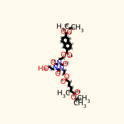 C/C(=C\C=C\C(=O)OCCn1c(=O)n(CCO)c(=O)n(CCOC(=O)c2ccc3cc(C(=O)OC(C)C)ccc3c2)c1=O)C(=O)OC(C)C